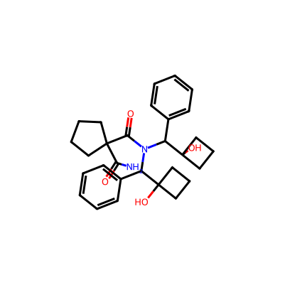 NC(=O)C1(C(=O)N(C(c2ccccc2)C2(O)CCC2)C(c2ccccc2)C2(O)CCC2)CCCC1